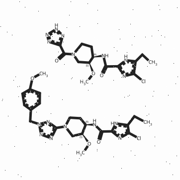 CCc1[nH]c(C(=O)N[C@@H]2CCN(C(=O)c3nn[nH]n3)C[C@@H]2OC)nc1Cl.CCc1[nH]c(C(=O)N[C@@H]2CCN(c3nnn(Cc4ccc(OC)cc4)n3)C[C@@H]2OC)nc1Cl